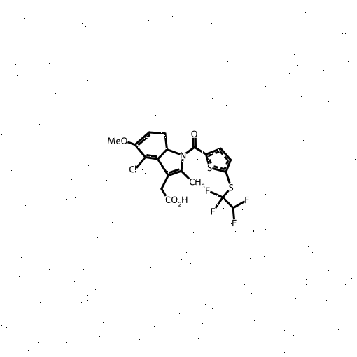 COC1=CCC2C(=C1Cl)C(CC(=O)O)=C(C)N2C(=O)c1ccc(SC(F)(F)C(F)F)s1